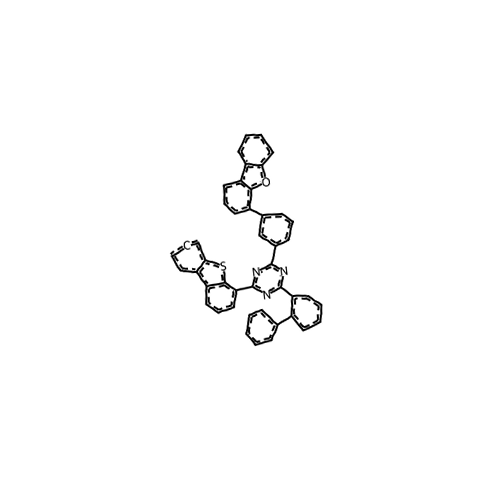 c1ccc(-c2ccccc2-c2nc(-c3cccc(-c4cccc5c4oc4ccccc45)c3)nc(-c3cccc4c3sc3ccccc34)n2)cc1